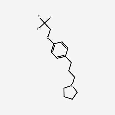 FC(F)(F)COc1ccc(CCCN2CCCC2)cc1